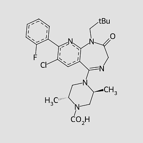 C[C@@H]1CN(C2=NCC(=O)N(CC(C)(C)C)c3nc(-c4ccccc4F)c(Cl)cc32)[C@@H](C)CN1C(=O)O